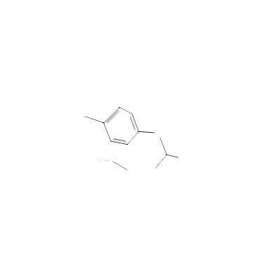 CC(Oc1ccc(Cl)cc1)C(=O)O.CNC